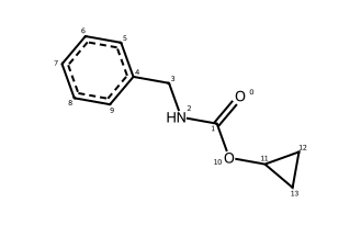 O=C(NCc1ccccc1)OC1CC1